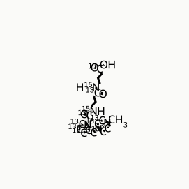 CN1[13CH2][13CH2]N([13CH2][13CH]2[13CH2][13CH2][13CH2]N2C[13C](=O)[15NH]CCC[13C](=O)[15NH]CCC[13C](=O)O)[13CH2][13CH2]1